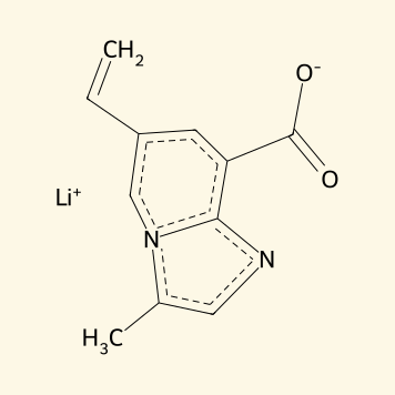 C=Cc1cc(C(=O)[O-])c2ncc(C)n2c1.[Li+]